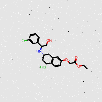 CCOC(=O)COc1ccc2c(c1)C[C@@H](NC(CO)c1cccc(Cl)c1)CC2.Cl